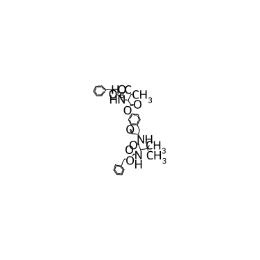 CC(C)C(NC(=O)OCc1ccccc1)C(=O)NC(C=O)Cc1ccc(OC(=O)[C@@H](NC(=O)OCc2ccccc2)C(C)C)cc1